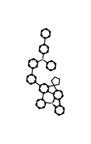 c1ccc(-c2ccc(N(c3ccccc3)c3cccc(-c4cccc(-c5cc6c7c(c5)C5(CCCC5)c5ccc8c9ccccc9n(c8c5-7)-c5ccccc5-6)c4)c3)cc2)cc1